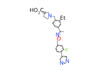 CCc1cc(/C(C)=N/OCc2ccc(-c3cncnc3)c(F)c2)ccc1CN1CC[C@H](C(=O)O)C1